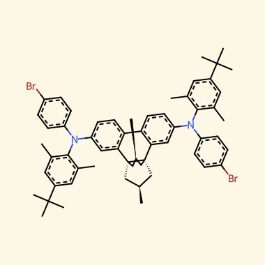 Cc1cc(C(C)(C)C)cc(C)c1N(c1ccc(Br)cc1)c1ccc2c(c1)[C@]13C[C@@H](C)C[C@]1(C[C@@H](C)C3)c1cc(N(c3ccc(Br)cc3)c3c(C)cc(C(C)(C)C)cc3C)ccc1-2